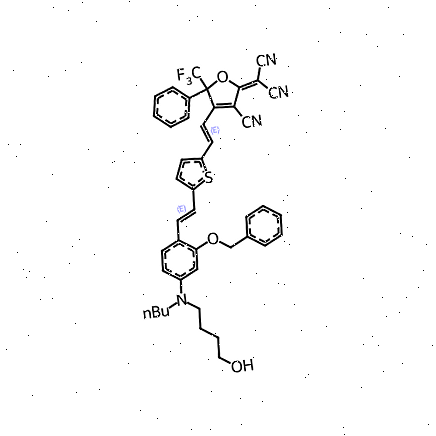 CCCCN(CCCCO)c1ccc(/C=C/c2ccc(/C=C/C3=C(C#N)C(=C(C#N)C#N)OC3(c3ccccc3)C(F)(F)F)s2)c(OCc2ccccc2)c1